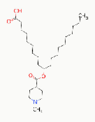 CCCCCCCCCCC(CCCCCCCCC(=O)O)OC(=O)C1CCN(C)CC1